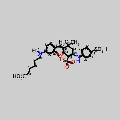 CCN(CCCCCC(=O)O)c1ccc2cc3c([o+]c2c1)C(S(=O)(=O)[O-])=C(Nc1ccc(S(=O)(=O)O)cc1)CC3(C)C